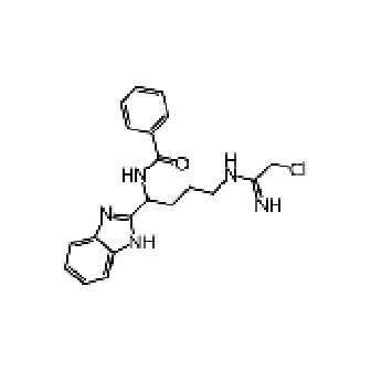 N=C(CCl)NCCCC(NC(=O)c1ccccc1)c1nc2ccccc2[nH]1